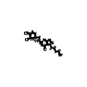 O=C1N=C(NCc2ccc(Cl)c(Cl)c2)N=C2N=NN(CCCCBr)C12